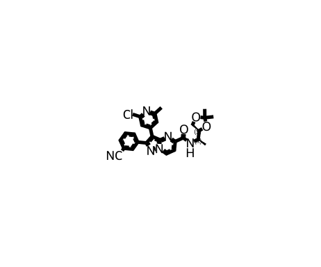 Cc1cc(-c2c(-c3cccc(C#N)c3)nn3ccc(C(=O)N[C@H](C)[C@H]4COC(C)(C)O4)nc23)cc(Cl)n1